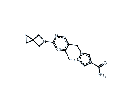 Cc1nc(N2CC3(CC3)C2)ncc1Cn1cc(C(N)=O)cn1